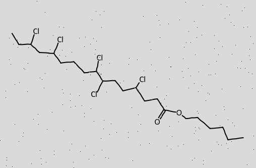 CCCCCCOC(=O)CCC(Cl)CCC(Cl)C(Cl)CCCC(Cl)CC(Cl)CC